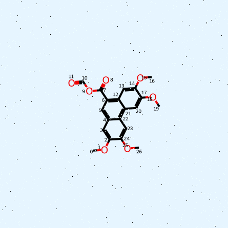 COc1cc2cc(C(=O)OC=O)c3cc(OC)c(OC)cc3c2cc1OC